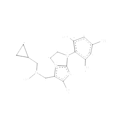 CCCN(Cc1c(CC)nc2n1CCN2c1c(C)cc(C)cc1C)CC1CC1